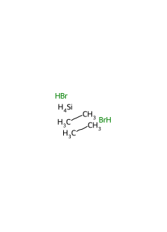 Br.Br.CC.CC.[SiH4]